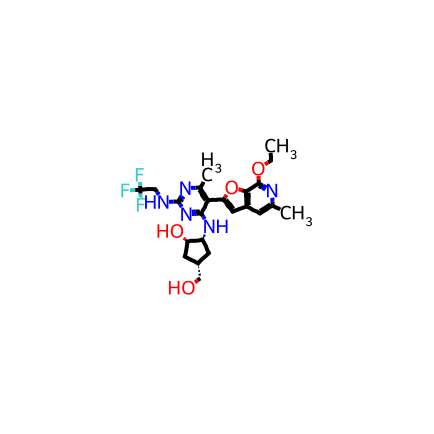 CCOc1nc(C)cc2cc(-c3c(C)nc(NCC(F)(F)F)nc3N[C@@H]3C[C@H](CO)C[C@H]3O)oc12